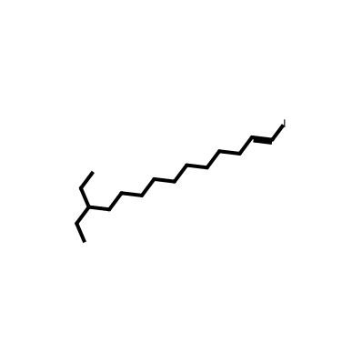 CCC(CC)CCCCCCCCCC=CI